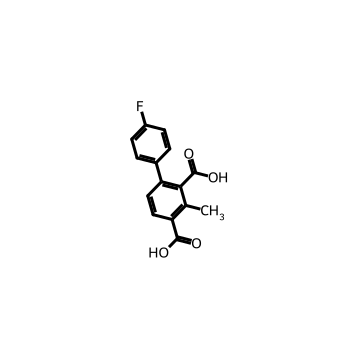 Cc1c(C(=O)O)ccc(-c2ccc(F)cc2)c1C(=O)O